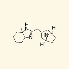 CC12CCCCC1N=C(CC1C[C@H]3CC[C@@H](C1)N3)N2